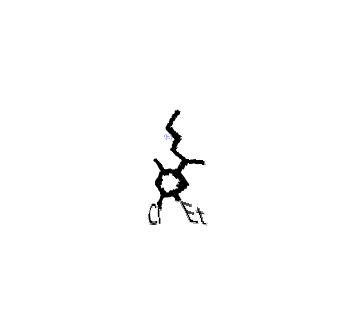 C/C=C/CC(C)c1cc(CC)c(Cl)cc1C